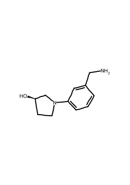 NCc1cccc(N2CC[C@@H](O)C2)c1